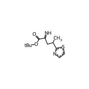 CC(CC(=N)C(=O)OC(C)(C)C)c1nccs1